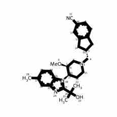 CO[C@H]1CN(C[C@H]2Cc3ccc(C#N)cc3C2)CC[C@H]1n1c(C(C)(C)O)nc2cc(C)ccc21